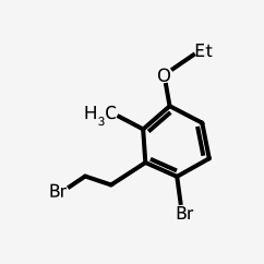 CCOc1ccc(Br)c(CCBr)c1C